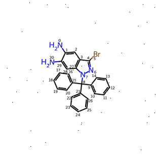 Nc1cc2c(Br)nn(C(c3ccccc3)(c3ccccc3)c3ccccc3)c2cc1N